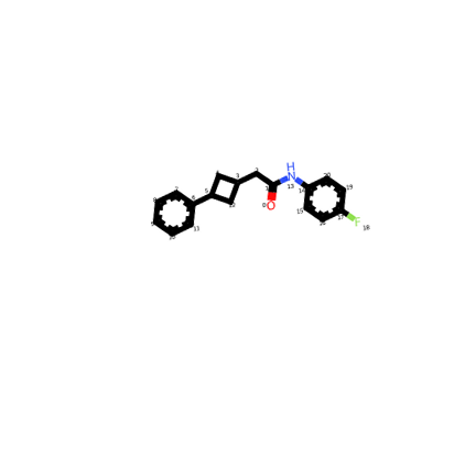 O=C(CC1CC(c2ccccc2)C1)Nc1ccc(F)cc1